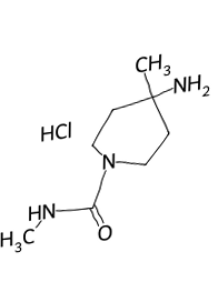 CNC(=O)N1CCC(C)(N)CC1.Cl